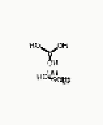 F.F.O=S(=O)(O)O.OB(O)O.[LiH]